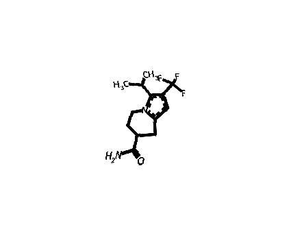 CC(C)c1c(C(F)(F)F)cc2n1CCC(C(N)=O)C2